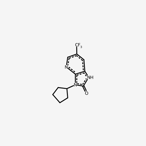 O=c1[nH]c2cc(C(F)(F)F)cnc2n1C1CCCC1